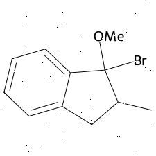 COC1(Br)c2ccccc2CC1C